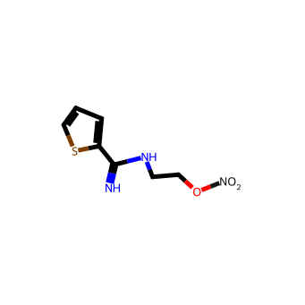 N=C(NCCO[N+](=O)[O-])c1cccs1